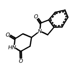 O=C1CC(N2Cc3ccccc3C2=O)CC(=O)N1